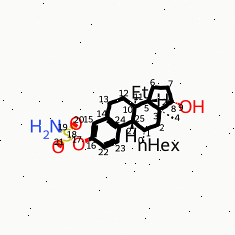 CCCCCC[C@H]1C[C@@]2(C)[C@@H](CC[C@@H]2O)[C@]2(CC)CCc3cc(OS(N)(=O)=O)ccc3[C@@H]12